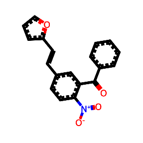 O=C(c1ccccc1)c1cc(C=Cc2ccco2)ccc1[N+](=O)[O-]